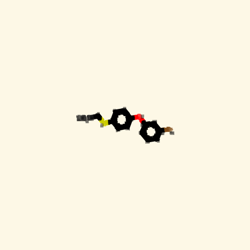 CCOC(=O)CSc1ccc(Oc2cccc(Br)c2)cc1